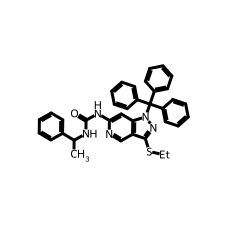 CCSc1nn(C(c2ccccc2)(c2ccccc2)c2ccccc2)c2cc(NC(=O)NC(C)c3ccccc3)ncc12